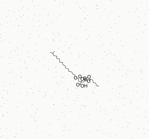 CCCCCC(=O)OC(=O)CC(O)(CC(=O)OCCCCCCCCCCCCCCC(C)C)C(=O)O